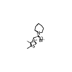 Cc1sc[n+](CC(=O)N2CCCCCC2)c1C.[Br-]